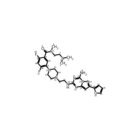 CN(C)CCN(C)C(=O)c1cc(N2CCN(CCNc3nc(N)n4nc(-c5ccco5)cc4n3)CC2)c(F)cc1F